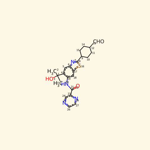 CC(C)(O)c1cc2nc(C3CCC(C=O)CC3)sc2cc1NC(=O)c1cnccn1